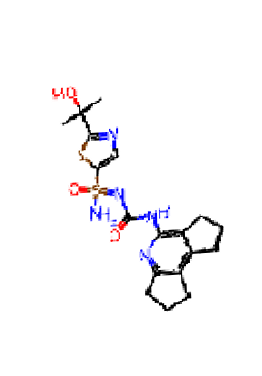 CC(C)(O)c1ncc(S(N)(=O)=NC(=O)Nc2nc3c(c4c2CCC4)CCC3)s1